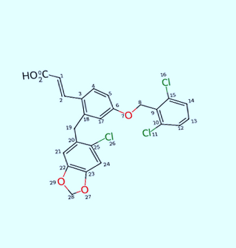 O=C(O)C=Cc1ccc(OCc2c(Cl)cccc2Cl)cc1Cc1cc2c(cc1Cl)OCO2